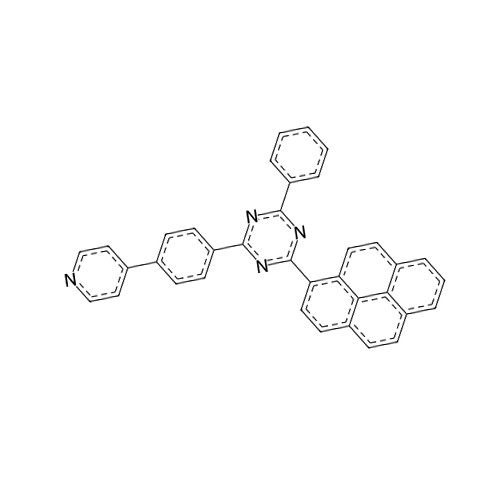 c1ccc(-c2nc(-c3ccc(-c4ccncc4)cc3)nc(-c3ccc4ccc5cccc6ccc3c4c56)n2)cc1